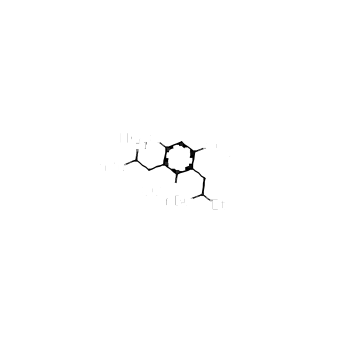 CCCCC(CC)Cc1c(C(=O)O)cc(C(=O)O)c(CC(CC)CCCC)c1C(=O)O